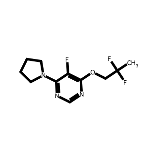 CC(F)(F)COc1ncnc(N2CCCC2)c1F